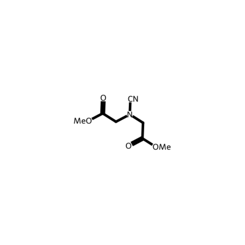 COC(=O)CN(C#N)CC(=O)OC